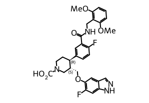 COc1cccc(OC)c1CNC(=O)c1cc([C@@H]2CCN(C(=O)O)C[C@H]2COc2cc3cn[nH]c3cc2F)ccc1F